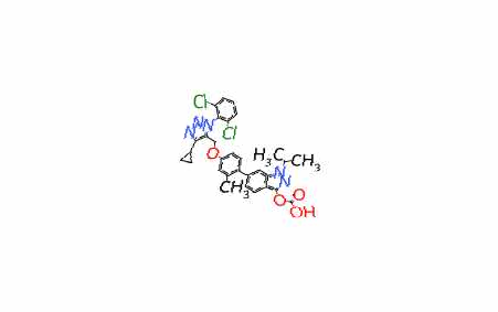 Cc1cc(OCc2c(C3CC3)nnn2-c2c(Cl)cccc2Cl)ccc1-c1ccc2c(OC(=O)O)nn(C(C)C)c2c1